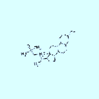 CC(CCC(C)(C)O)C1CCC2C3CC=C4CC(O)CCC4C3CCC12C